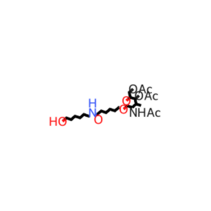 CC(=O)NC1C(OCCCCCC(=O)NCCCCCCO)OC(COC(C)=O)C(OC(C)=O)C1C